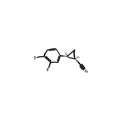 N#C[C@@H]1C[C@@H]1c1ccc(F)c(F)c1